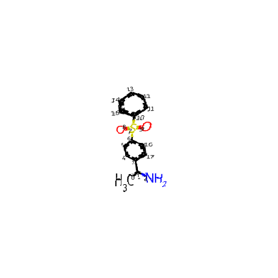 CC(N)c1ccc(S(=O)(=O)c2ccccc2)cc1